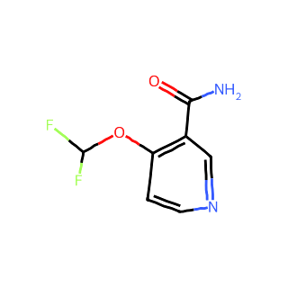 NC(=O)c1cnccc1OC(F)F